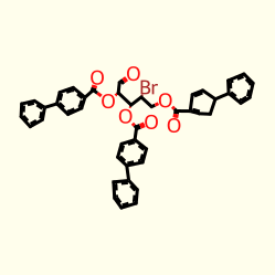 O=C[C@H](OC(=O)c1ccc(-c2ccccc2)cc1)[C@@H](OC(=O)c1ccc(-c2ccccc2)cc1)[C@H](Br)COC(=O)C1=CCC(c2ccccc2)C=C1